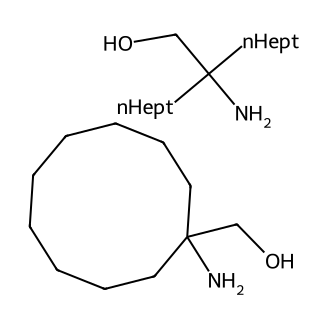 CCCCCCCC(N)(CO)CCCCCCC.NC1(CO)CCCCCCCCC1